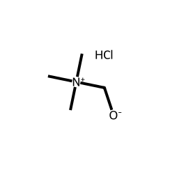 C[N+](C)(C)C[O-].Cl